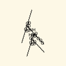 CCCCCCCCCCCCCC(=O)OCCN(CCOC(=O)CCCCCCCCCCCCC)C(=O)CCC(=O)NCCCC[C@H](NC(=O)CCC(=O)N(CCOC(=O)CCCCCCCCCCCCC)CCOC(=O)CCCCCCCCCCCCC)C(=O)NCCCOCCOCCOCC